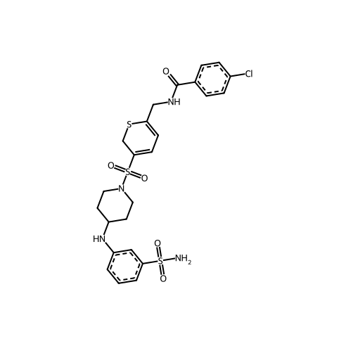 NS(=O)(=O)c1cccc(NC2CCN(S(=O)(=O)C3=CC=C(CNC(=O)c4ccc(Cl)cc4)SC3)CC2)c1